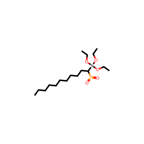 CCCCCCCCCCC(P(=O)=O)[Si](OCC)(OCC)OCC